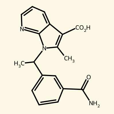 Cc1c(C(=O)O)c2cccnc2n1C(C)c1cccc(C(N)=O)c1